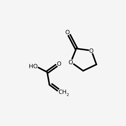 C=CC(=O)O.O=C1OCCO1